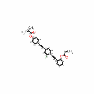 C=CC(=O)Oc1ccccc1C#Cc1ccc(C#Cc2ccc(OC(=O)C(=C)C)cc2)cc1F